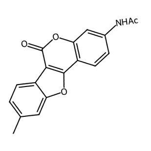 CC(=O)Nc1ccc2c(c1)oc(=O)c1c3ccc(C)cc3oc21